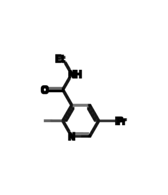 CCNC(=O)c1cc(C(C)C)cnc1C